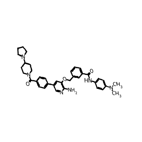 CN(C)c1ccc(NC(=O)c2cccc(COc3cc(-c4ccc(C(=O)N5CCC(N6CCCC6)CC5)cc4)cnc3N)c2)cc1